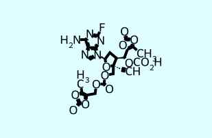 C#C[C@]1(COC(=O)OCc2oc(=O)oc2C)O[C@@H](n2cnc3c(N)nc(F)nc32)C[C@H]1C(OC(=O)O)c1oc(=O)oc1C